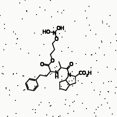 CC(NC(CCc1ccccc1)C(=O)OCCCON(O)O)C(=O)N1C(C(=O)O)CC2CCCC21